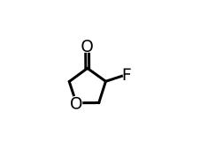 O=C1COCC1F